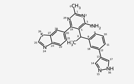 Cc1nc(N)c(C(C)c2cccc(-c3cn[nH]c3)c2)c(-c2ccc3ncsc3c2)n1